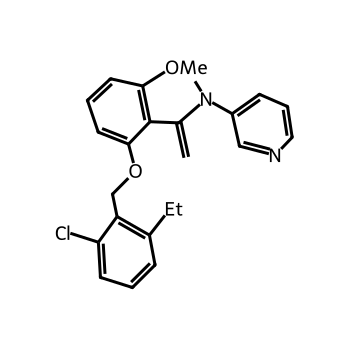 C=C(c1c(OC)cccc1OCc1c(Cl)cccc1CC)N(C)c1cccnc1